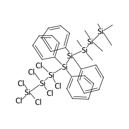 C[Si](C)(C)[Si](C)(C)[Si](C)(C)[Si](c1ccccc1)(c1ccccc1)[Si](c1ccccc1)(c1ccccc1)[Si](Cl)(Cl)[Si](Cl)(Cl)[Si](Cl)(Cl)Cl